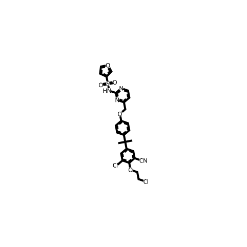 CC(C)(c1ccc(OCc2ccnc(NS(=O)(=O)c3ccoc3)n2)cc1)c1cc(Cl)c(OCCCl)c(C#N)c1